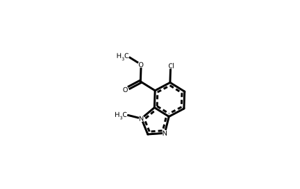 COC(=O)c1c(Cl)ccc2ncn(C)c12